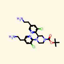 CC(C)(C)OC(=O)N1CCN(c2ncc(CCN)cc2Cl)C(c2ncc(CCN)cc2Cl)C1